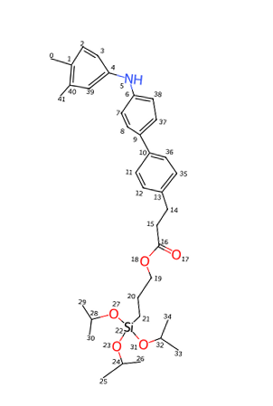 Cc1ccc(Nc2ccc(-c3ccc(CCC(=O)OCCC[Si](OC(C)C)(OC(C)C)OC(C)C)cc3)cc2)cc1C